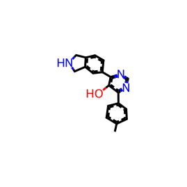 Cc1ccc(-c2ncnc(-c3ccc4c(c3)CNC4)c2O)cc1